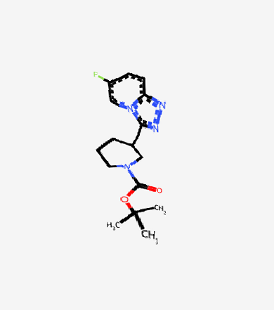 CC(C)(C)OC(=O)N1CCCC(c2nnc3ccc(F)cn23)C1